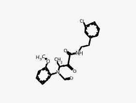 COc1ccccc1N(C=O)C(C)C(=O)C(=O)NCCc1cccc(Cl)c1